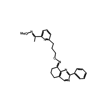 CO/N=C(\C)c1cccc(CCCO/N=C2\CCCc3cnc(-c4ccccc4)nc32)n1